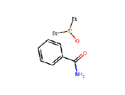 CC[S+]([O-])CC.NC(=O)c1ccccc1